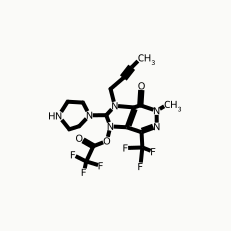 CC#CCN1c2c(c(C(F)(F)F)nn(C)c2=O)N(OC(=O)C(F)(F)F)C1N1CCNCC1